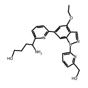 CCOc1cc(-c2cccc(C(N)CCCO)n2)cc2c1cnn2-c1cccc(CO)n1